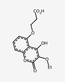 CCOc1c(O)c2c(OCCC(=O)O)cccc2oc1=O